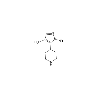 CCn1ncc(C)c1C1CCNCC1